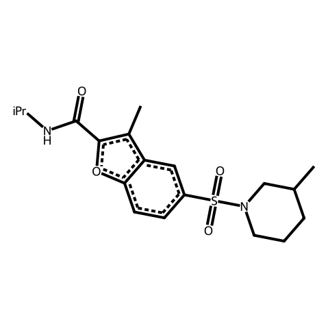 Cc1c(C(=O)NC(C)C)oc2ccc(S(=O)(=O)N3CCCC(C)C3)cc12